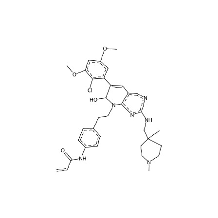 C=CC(=O)Nc1ccc(CCN2c3nc(NCC4(C)CCN(C)CC4)ncc3C=C(c3cc(OC)cc(OC)c3Cl)C2O)cc1